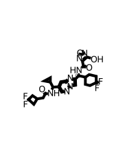 O=C(CC1CC(F)(F)C1)NC(c1cnn2cc([C@@H](NC(=O)c3nonc3O)C3CCC(F)(F)CC3)nc2c1)C1CC1